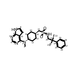 CN(c1ncnc2[nH]ccc12)[C@H]1CC[C@H](CS(=O)(=O)NCC(F)(F)c2ccccc2)CC1